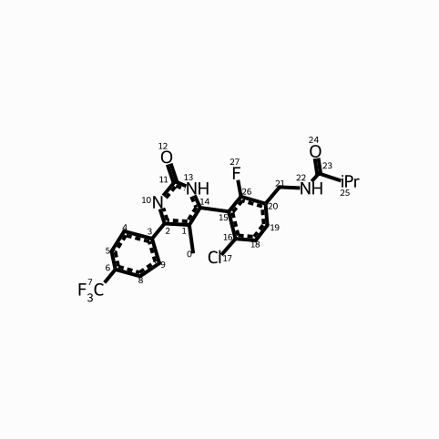 Cc1c(-c2ccc(C(F)(F)F)cc2)nc(=O)[nH]c1-c1c(Cl)ccc(CNC(=O)C(C)C)c1F